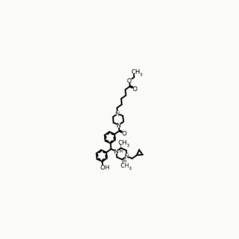 CCOC(=O)CCCCCN1CCN(C(=O)c2cccc(C(c3cccc(O)c3)N3C[C@@H](C)N(CC4CC4)C[C@H]3C)c2)CC1